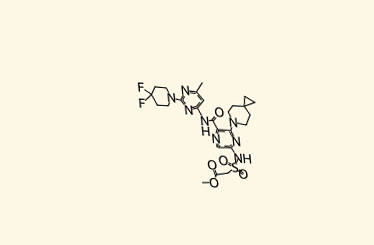 COC(=O)CS(=O)(=O)Nc1cnc(C(=O)Nc2cc(C)nc(N3CCC(F)(F)CC3)n2)c(N2CCC3(CC2)CC3)n1